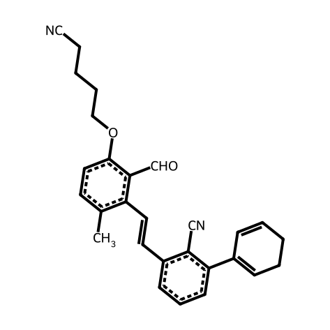 Cc1ccc(OCCCCC#N)c(C=O)c1/C=C/c1cccc(C2=CCCC=C2)c1C#N